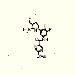 COc1cnc(C(=O)Nc2cc(F)c(F)c(C3CCC(CF)C(N)=N3)c2)cn1